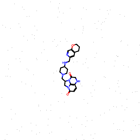 O=C1CNc2ccc(=O)n3c2N1C(CN1CCC(NCc2cc4c(cn2)OCCC4)CC1)C3